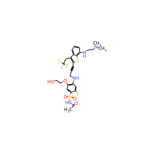 CC(=O)NS(=O)(=O)c1cc(OCCO)c(NCC#Cc2sc3c(NCCN(C)C)cccc3c2CC(F)(F)F)cc1F